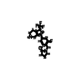 CN1CCc2c(C(F)(F)F)nn(-c3ccc(CN4CCCC4=O)c(F)c3)c2C1